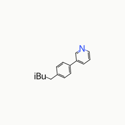 CCC(C)Cc1ccc(-c2cccnc2)cc1